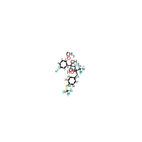 COc1ccc(F)cc1C(C)(C)CC(O)(Cc1ccc(SC(F)(F)F)cc1)C(F)(F)F